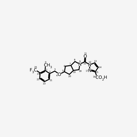 Cc1c(COC2CC3CN(C(=O)n4ccc(C(=O)O)n4)CC3C2)cccc1C(F)(F)F